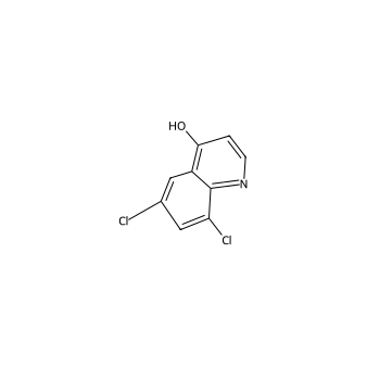 Oc1ccnc2c(Cl)cc(Cl)cc12